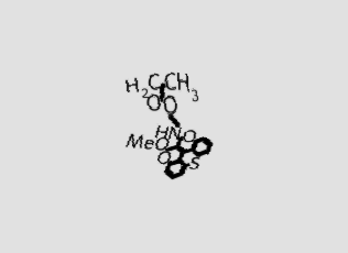 C=C(C)C(=O)OCCNC(=O)C(C(=O)OC)=C1c2ccccc2Sc2ccccc21